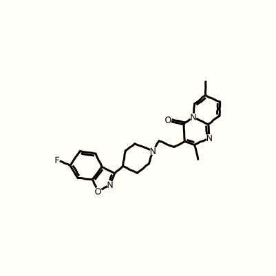 Cc1ccc2nc(C)c(CCN3CCC(c4noc5cc(F)ccc45)CC3)c(=O)n2c1